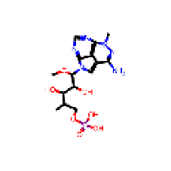 COC(C(O)C(O)C(C)COP(=O)(O)O)n1cc2c3c(ncnc31)N(C)N=C2N